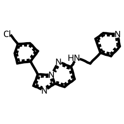 Clc1ccc(-c2cnc3ccc(NCc4ccncc4)nn23)cc1